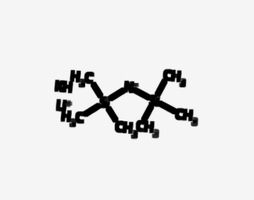 C[Si](C)(C)[N-][Si](C)(C)C.[KH].[Li+]